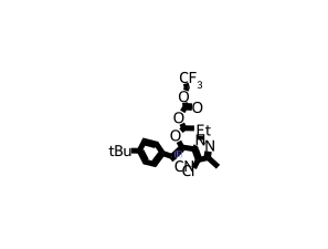 CCn1nc(C)c(Cl)c1/C(OC(C)OC(=O)OCC(F)(F)F)=C(\C#N)c1ccc(C(C)(C)C)cc1